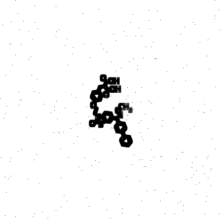 CO/N=C(/c1ccc(-c2ccccc2)cc1)c1ccc2c(c1)sc(=O)n2CCOc1ccc(CC(C(=O)O)C(=O)O)cc1